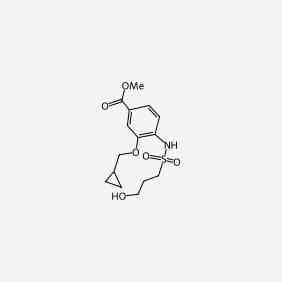 COC(=O)c1ccc(NS(=O)(=O)CCCO)c(OCC2CC2)c1